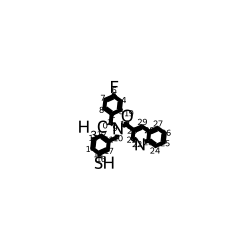 C[C@H](c1ccc(F)cc1)N(Cc1cccc(S)c1)C(=O)c1cnc2ccccc2c1